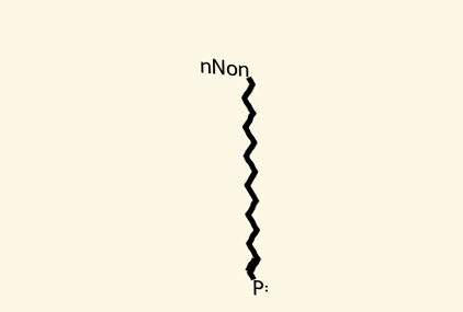 CCCCCCCCCCCCCCCCCCCCC/C=C/[P]